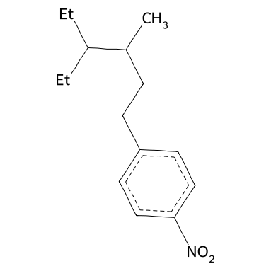 CCC(CC)C(C)CCc1ccc([N+](=O)[O-])cc1